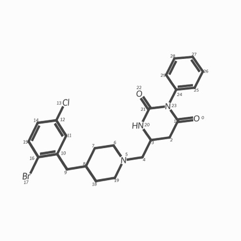 O=C1CC(CN2CCC(Cc3cc(Cl)ccc3Br)CC2)NC(=O)N1c1ccccc1